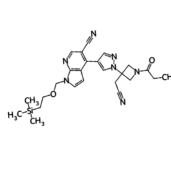 CCC(=O)N1CC(CC#N)(n2cc(-c3c(C#N)cnc4c3ccn4COCC[Si](C)(C)C)cn2)C1